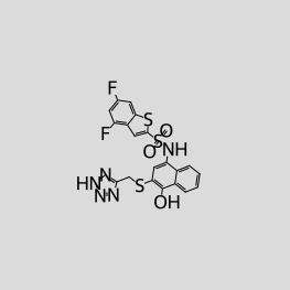 O=S(=O)(Nc1cc(SCc2nn[nH]n2)c(O)c2ccccc12)c1cc2c(F)cc(F)cc2s1